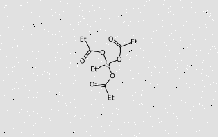 CCC(=O)O[Si](CC)(OC(=O)CC)OC(=O)CC